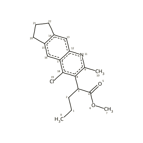 CCCC(C(=O)OC)c1c(C)nc2cc3c(cc2c1Cl)CCC3